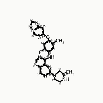 Cc1cc(Nc2ncnc3cnc(N4CCN[C@H](C)C4)nc23)c(F)cc1Oc1ccn2ncnc2c1